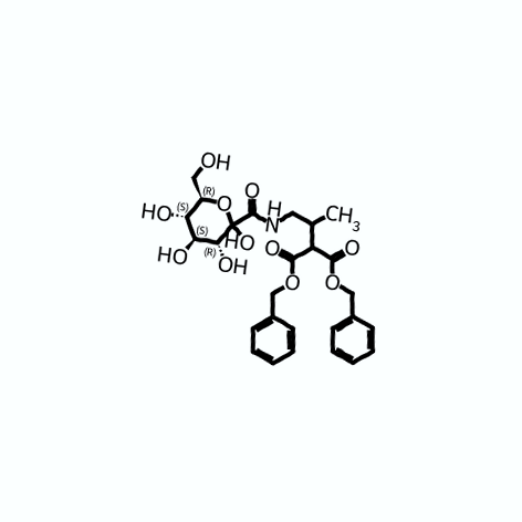 CC(CNC(=O)C1(O)O[C@H](CO)[C@@H](O)[C@H](O)[C@H]1O)C(C(=O)OCc1ccccc1)C(=O)OCc1ccccc1